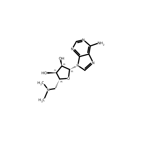 CN(C)C[C@H]1O[C@@H](n2cnc3c(N)ncnc32)[C@H](O)[C@@H]1O